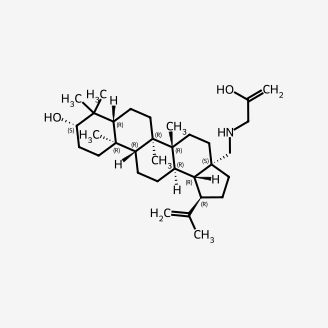 C=C(O)CNC[C@]12CC[C@@H](C(=C)C)[C@@H]1[C@H]1CC[C@@H]3[C@@]4(C)CC[C@H](O)C(C)(C)[C@@H]4CC[C@@]3(C)[C@]1(C)CC2